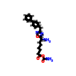 NC(=O)OC(=O)CCCCC[C@H](N)c1nc(Cc2ccc(-c3ccccc3)cc2)no1